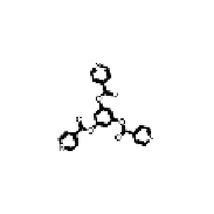 O=C(Oc1cc(OC(=O)c2ccncc2)cc(OC(=O)c2ccncc2)c1)c1ccncc1